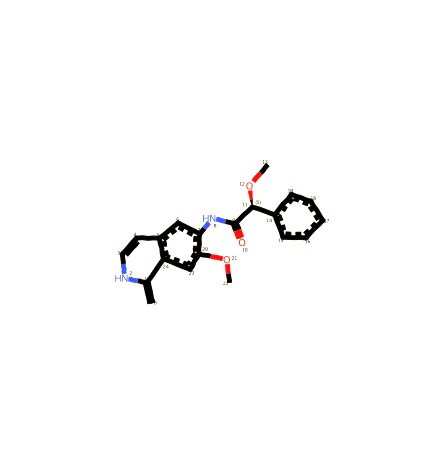 C=C1NC=Cc2cc(NC(=O)[C@@H](OC)c3ccccc3)c(OC)cc21